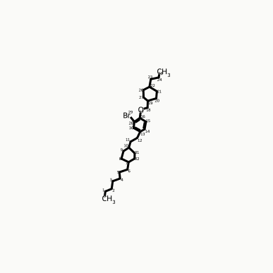 CCCCCCCC1CCC(CCc2ccc(OCC3CCC(CCC)CC3)c(Br)c2)CC1